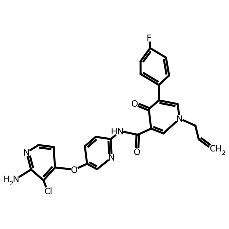 C=CCn1cc(C(=O)Nc2ccc(Oc3ccnc(N)c3Cl)cn2)c(=O)c(-c2ccc(F)cc2)c1